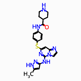 Cc1cc(Nc2nc(Sc3ccc(NC(=O)C4CCNCC4)cc3)cc3nccn23)n[nH]1